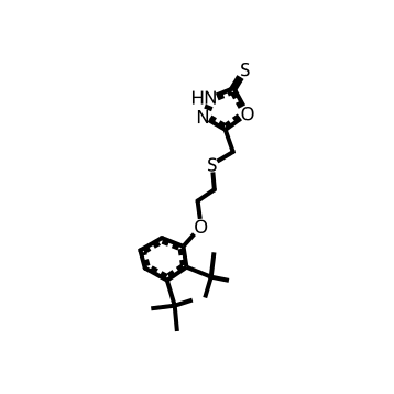 CC(C)(C)c1cccc(OCCSCc2n[nH]c(=S)o2)c1C(C)(C)C